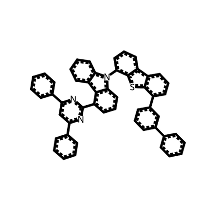 c1ccc(-c2cccc(-c3cccc4c3sc3c(-n5c6ccccc6c6c(-c7nc(-c8ccccc8)cc(-c8ccccc8)n7)cccc65)cccc34)c2)cc1